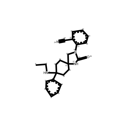 CCNC1(c2ccccc2)CCC2(CC1)CN(c1ccccc1C#N)C(=O)N2